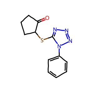 O=C1CCCC1Sc1nnnn1-c1ccccc1